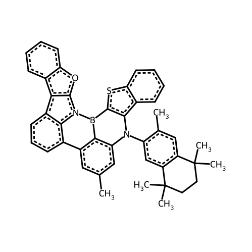 Cc1cc2c3c(c1)N(c1cc4c(cc1C)C(C)(C)CCC4(C)C)c1c(sc4ccccc14)B3n1c3oc4ccccc4c3c3cccc-2c31